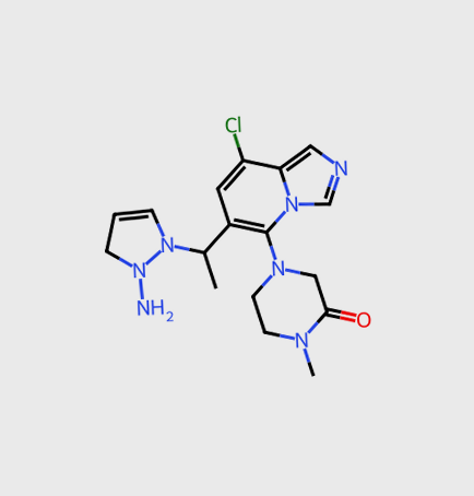 CC(c1cc(Cl)c2cncn2c1N1CCN(C)C(=O)C1)N1C=CCN1N